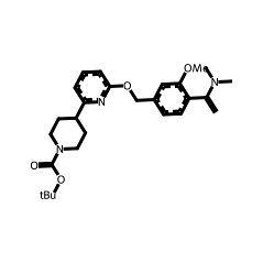 C=C(c1ccc(COc2cccc(C3CCN(C(=O)OC(C)(C)C)CC3)n2)cc1OC)N(C)C